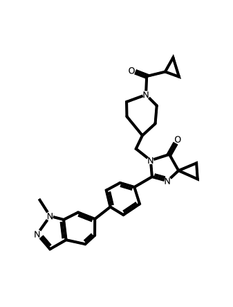 Cn1ncc2ccc(-c3ccc(C4=NC5(CC5)C(=O)N4CC4CCN(C(=O)C5CC5)CC4)cc3)cc21